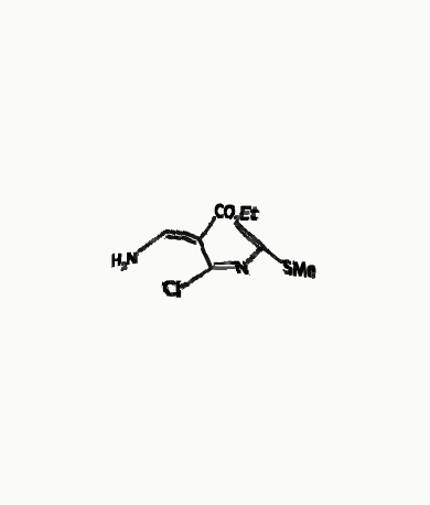 C=C(/N=C(Cl)\C(=C/N)C(=O)OCC)SC